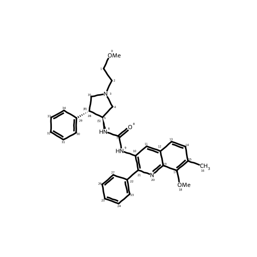 COCCN1C[C@@H](NC(=O)Nc2cc3ccc(C)c(OC)c3nc2-c2ccccc2)[C@H](c2ccccc2)C1